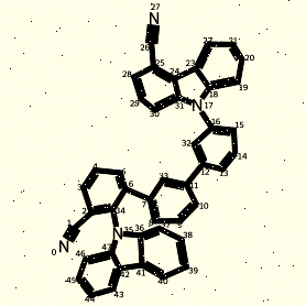 N#Cc1cccc(-c2cccc(-c3cccc(-n4c5ccccc5c5c(C#N)cccc54)c3)c2)c1-n1c2ccccc2c2ccccc21